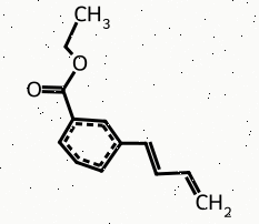 C=CC=Cc1cccc(C(=O)OCC)c1